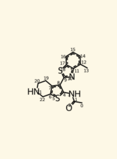 CC(=O)Nc1sc2c(c1-c1nc3c(C)cccc3s1)CCNC2